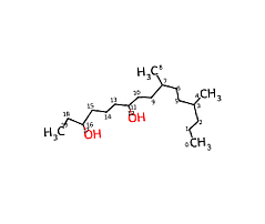 CCCC(C)CCC(C)CCC(O)CCCC(O)CC